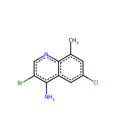 Cc1cc(Cl)cc2c(N)c(Br)cnc12